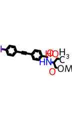 COC(=O)C(NC(=O)c1ccc(C#Cc2ccc(I)cc2)cc1)C(C)O